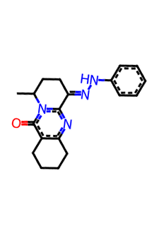 CC1CCC(=NNc2ccccc2)c2nc3c(c(=O)n21)CCCC3